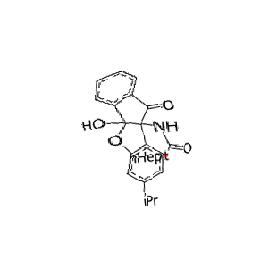 CCCCCCCC(=O)NC12C(=O)c3ccccc3C1(O)Oc1cc(C(C)C)ccc12